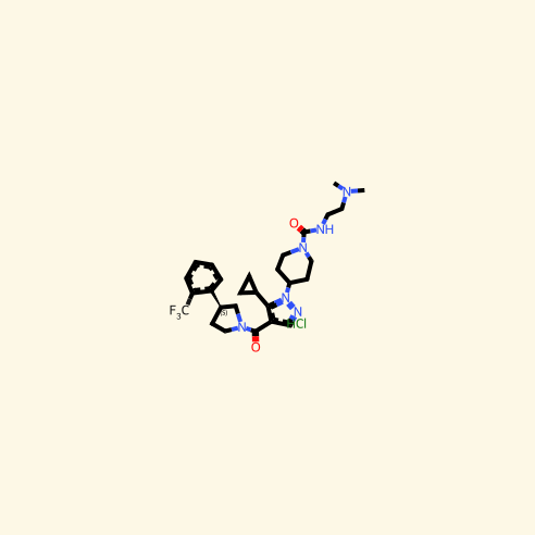 CN(C)CCNC(=O)N1CCC(n2ncc(C(=O)N3CC[C@@H](c4ccccc4C(F)(F)F)C3)c2C2CC2)CC1.Cl